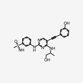 CC(CO)Nc1nc(Nc2cccc(S(C)(=N)=O)c2)ncc1C#Cc1cccc(O)c1